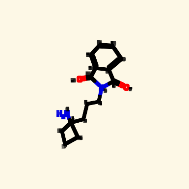 NC1(CCCN2C(=O)c3ccccc3C2=O)CCC1